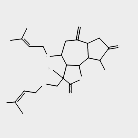 C=C1CC(OCC=C(C)C)C2C(OC(=O)C2(O)COCC=C(C)C)C2C(C)C(=O)CC12